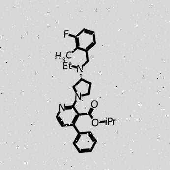 CCN(Cc1cccc(F)c1C)[C@@H]1CCN(c2nccc(-c3ccccc3)c2C(=O)OC(C)C)C1